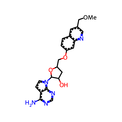 COCc1cnc2cc(OCC3CC(O)C(n4ccc5c(N)ncnc54)O3)ccc2c1